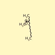 CCCC=C(CCCCCCCCCC)C(=O)OC